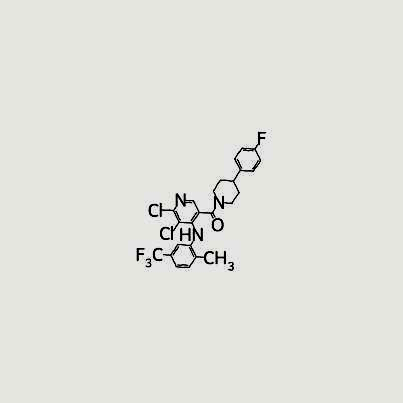 Cc1ccc(C(F)(F)F)cc1Nc1c(C(=O)N2CCC(c3ccc(F)cc3)CC2)cnc(Cl)c1Cl